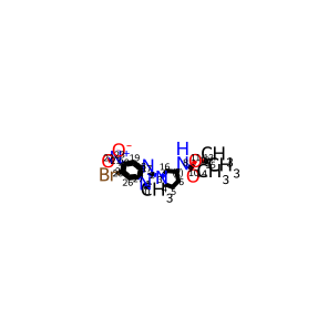 Cn1c(N2CCC[C@@H](NC(=O)OC(C)(C)C)C2)nc2cc([N+](=O)[O-])c(Br)cc21